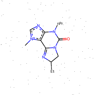 CCCN1C(=O)N2CC(CC)N=C2c2c1ncn2C